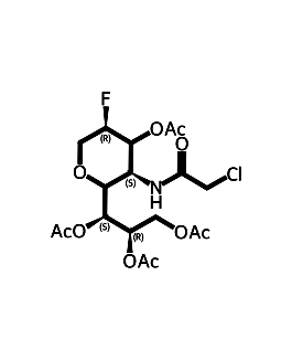 CC(=O)OC[C@@H](OC(C)=O)[C@@H](OC(C)=O)C1OC[C@@H](F)C(OC(C)=O)[C@H]1NC(=O)CCl